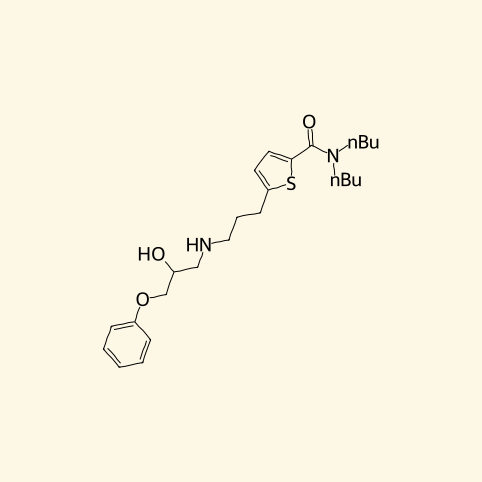 CCCCN(CCCC)C(=O)c1ccc(CCCNCC(O)COc2ccccc2)s1